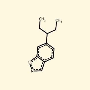 CCC(CC)c1ccc2cnoc2c1